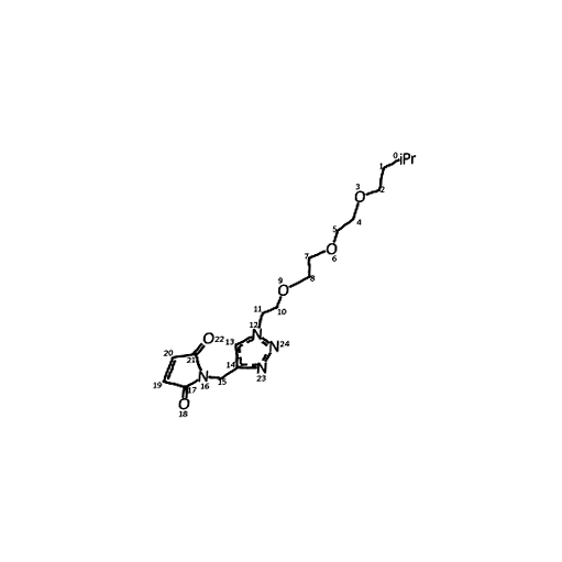 CC(C)CCOCCOCCOCCn1cc(CN2C(=O)C=CC2=O)nn1